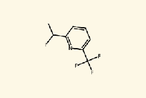 CC(I)c1cccc(C(F)(F)F)n1